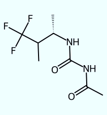 CC(=O)NC(=O)N[C@@H](C)C(C)C(F)(F)F